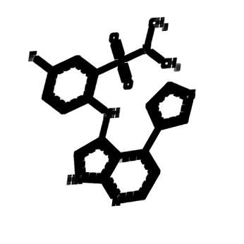 CN(C)S(=O)(=O)c1cc(F)ccc1Nc1c[nH]c2nccc(-c3ccsc3)c12